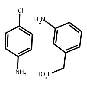 Nc1ccc(Cl)cc1.Nc1cccc(CC(=O)O)c1